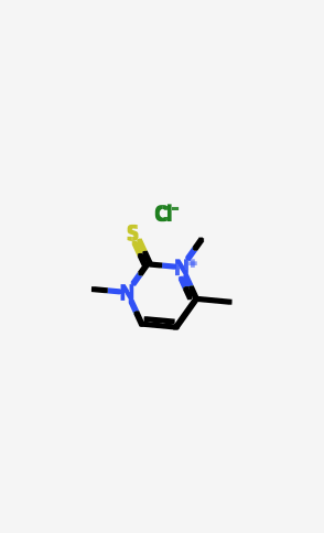 Cc1ccn(C)c(=S)[n+]1C.[Cl-]